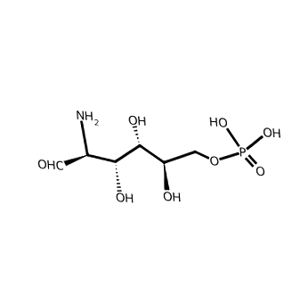 N[C@H](C=O)[C@@H](O)[C@H](O)[C@H](O)COP(=O)(O)O